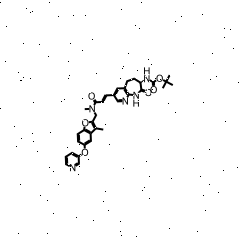 Cc1c(CN(C)C(=O)/C=C/c2cnc3c(c2)CC[C@@H](NC(=O)OC(C)(C)C)C(=O)N3)oc2ccc(Oc3cccnc3)cc12